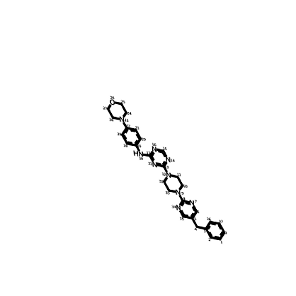 c1ccc(Cc2cnc(N3CCN(c4ncnc(Nc5ccc(N6CCOCC6)cc5)n4)CC3)nc2)cc1